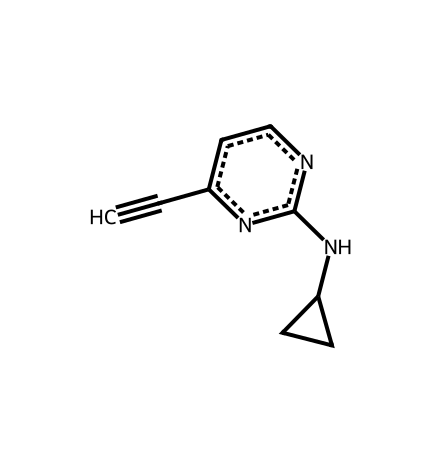 C#Cc1ccnc(NC2CC2)n1